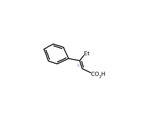 CC/C(=C\C(=O)O)c1ccccc1